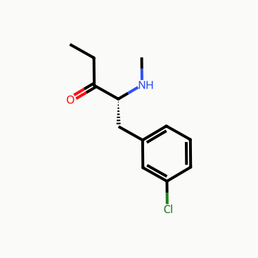 CCC(=O)[C@@H](Cc1cccc(Cl)c1)NC